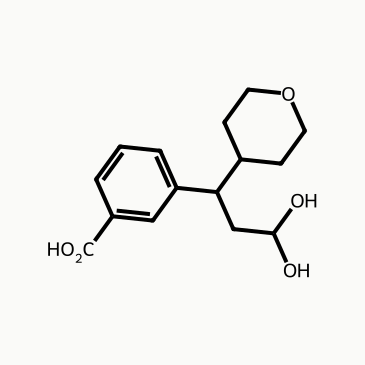 O=C(O)c1cccc(C(CC(O)O)C2CCOCC2)c1